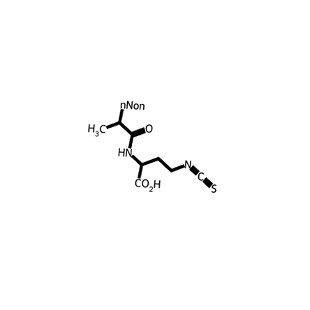 CCCCCCCCCC(C)C(=O)NC(CCN=C=S)C(=O)O